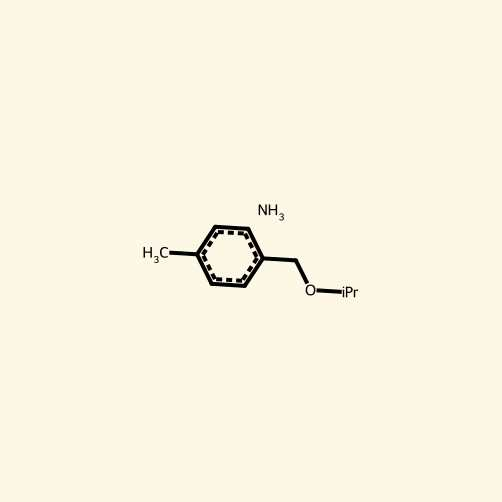 Cc1ccc(COC(C)C)cc1.N